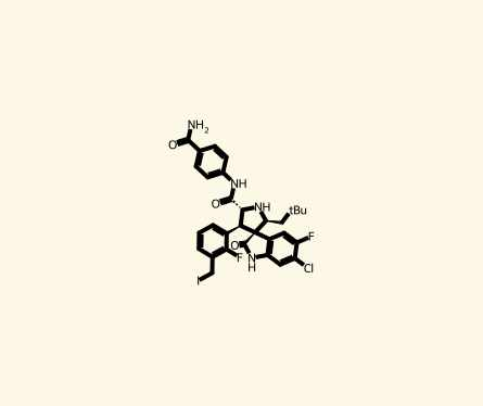 CC(C)(C)C[C@@H]1N[C@@H](C(=O)Nc2ccc(C(N)=O)cc2)[C@H](c2cccc(CI)c2F)[C@]12C(=O)Nc1cc(Cl)c(F)cc12